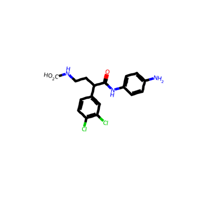 Nc1ccc(NC(=O)C(CCNC(=O)O)c2ccc(Cl)c(Cl)c2)cc1